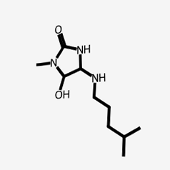 CC(C)CCCNC1NC(=O)N(C)C1O